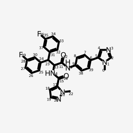 Cn1cncc1-c1ccc(NC(=O)C(NC(=O)c2ccnn2C)C(c2cccc(F)c2)c2cccc(F)c2)cc1